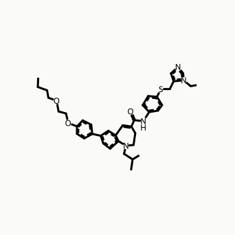 CCCCOCCOc1ccc(-c2ccc3c(c2)C=C(C(=O)Nc2ccc(SCc4cncn4CC)cc2)CCN3CC(C)C)cc1